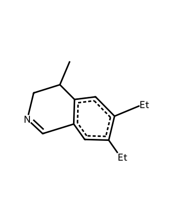 CCc1cc2c(cc1CC)C(C)CN=C2